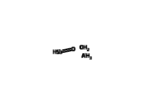 O.[AlH3].[O]=[SbH]